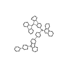 c1ccc(-c2ccc(-n3c4ccccc4c4cc(-c5ccc(N(c6ccc7c(c6)C(=C6c8ccccc8-c8ccccc86)c6ccccc6-7)c6cc7ccccc7c7ccccc67)cc5)ccc43)cc2)cc1